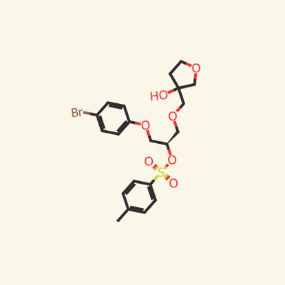 Cc1ccc(S(=O)(=O)O[C@H](COCC2(O)CCOC2)COc2ccc(Br)cc2)cc1